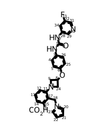 O=C(Nc1ccc(OC2CN(c3cccc(C(=O)O)c3Cn3cccc3)C2)cc1)Nc1cncc(F)c1